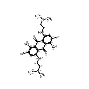 CN(C)CCNc1cc(F)c(O)c2c1C(=O)c1c(O)c(F)cc(NCCN(C)C)c1C2=O